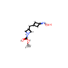 CC(C)(C)OC(=O)N1CC(CC2CC(=NO)C2)C1